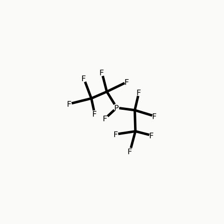 FP(C(F)(F)C(F)(F)F)C(F)(F)C(F)(F)F